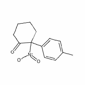 Cc1ccc(C2([N+](=O)[O-])CCCCC2=O)cc1